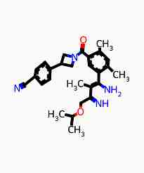 C/C(C(=N)COC(C)C)=C(/N)c1cc(C(=O)N2CC(c3ccc(C#N)cc3)C2)c(C)cc1C